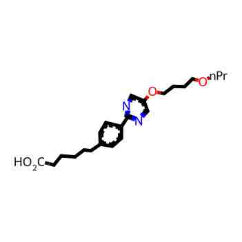 CCCOCCCCOc1cnc(-c2ccc(CCCCCC(=O)O)cc2)nc1